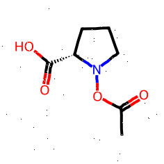 CC(=O)ON1CCC[C@H]1C(=O)O